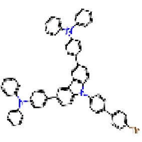 Brc1ccc(-c2ccc(-n3c4ccc(-c5ccc(N(c6ccccc6)c6ccccc6)cc5)cc4c4cc(-c5ccc(N(c6ccccc6)c6ccccc6)cc5)ccc43)cc2)cc1